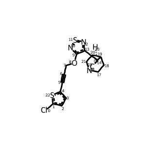 Clc1ccc(C#CCOc2nsnc2[C@@H]2CN3CCC2CC3)s1